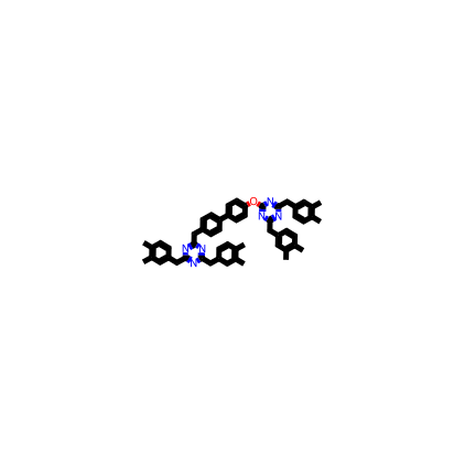 CC1=C(C)CC(Cc2nc(Cc3ccc(-c4ccc(Oc5nc(Cc6ccc(C)c(C)c6)nc(Cc6ccc(C)c(C)c6)n5)cc4)cc3)nc(Cc3ccc(C)c(C)c3)n2)C=C1